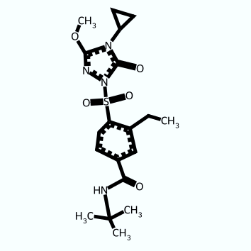 CCc1cc(C(=O)NC(C)(C)C)ccc1S(=O)(=O)n1nc(OC)n(C2CC2)c1=O